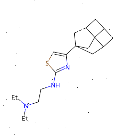 CCN(CC)CCNc1nc(C23CC4CC5CC(C2)C54C3)cs1